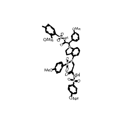 COc1ccc(S(=O)(=O)NC(=O)CN(c2cccc3c2CCN3C(C(=O)NS(=O)(=O)c2ccc(C)cc2OC)c2cccc(OC)c2)S(=O)(=O)c2ccc(OC)cc2)cc1